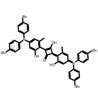 CC1=CC(=[N+](c2ccc(C(C)(C)C)cc2)c2ccc(C(C)(C)C)cc2)C=C(O)/C1=C1\C(=O)C(c2c(C)cc(N(c3ccc(C(C)(C)C)cc3)c3ccc(C(C)(C)C)cc3)cc2O)=C1O